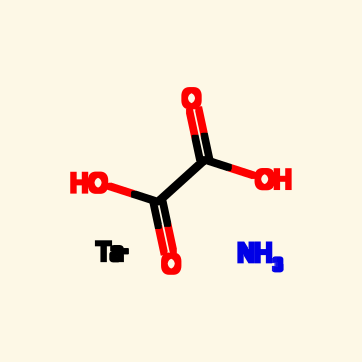 N.O=C(O)C(=O)O.[Ta]